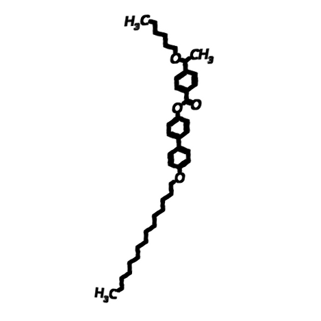 CCCCCCCCCCCCCCCOc1ccc(-c2ccc(OC(=O)c3ccc(C(C)OCCCCCC)cc3)cc2)cc1